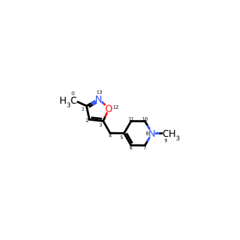 Cc1cc(CC2=CCN(C)CC2)on1